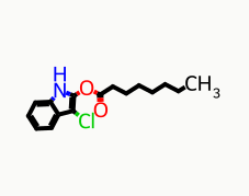 CCCCCCCC(=O)Oc1[nH]c2ccccc2c1Cl